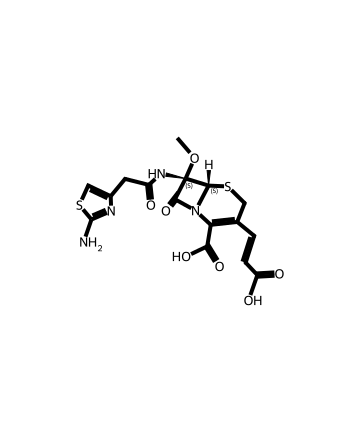 CO[C@@]1(NC(=O)Cc2csc(N)n2)C(=O)N2C(C(=O)O)=C(C=CC(=O)O)CS[C@H]21